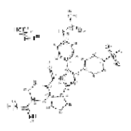 CS(=O)(=O)N1CCN(c2nc(N3CCCC3)n(C(=O)C3CCN(C(=N)N)CC3)c2-c2ccc(NC(=O)O)cc2)CC1.Cl.Cl.Cl